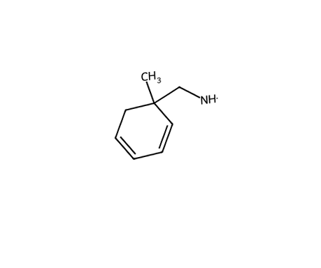 CC1(C[NH])C=CC=CC1